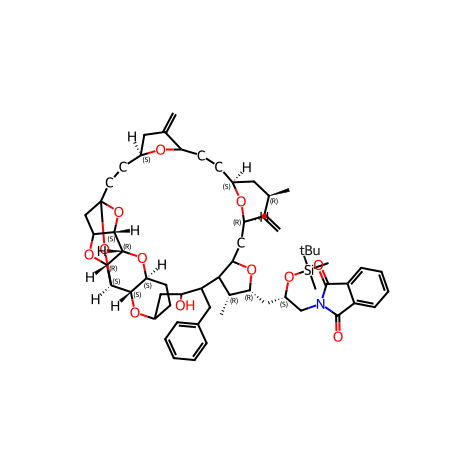 C=C1C[C@@H]2CCC34CC5O[C@H]6[C@@H](O3)[C@H]3OC(CC[C@@H]3O[C@H]6[C@H]5O4)CC(O)C(Cc3ccccc3)C3C(C[C@H]4O[C@@H](CCC1O2)C[C@@H](C)C4=C)O[C@H](C[C@@H](CN1C(=O)c2ccccc2C1=O)O[Si](C)(C)C(C)(C)C)[C@@H]3C